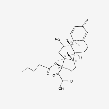 CCCCC(=O)O[C@]1(C(=O)C(O)Cl)CC[C@H]2[C@@H]3CCC4=CC(=O)C=C[C@]4(C)[C@H]3C(O)C[C@@]21C